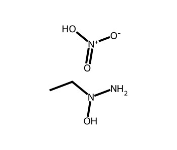 CCN(N)O.O=[N+]([O-])O